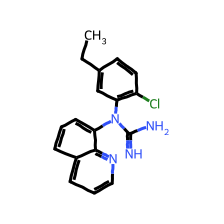 CCc1ccc(Cl)c(N(C(=N)N)c2cccc3cccnc23)c1